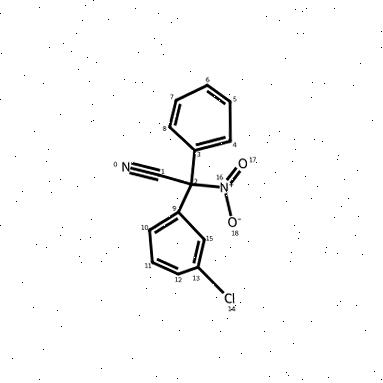 N#CC(c1ccccc1)(c1cccc(Cl)c1)[N+](=O)[O-]